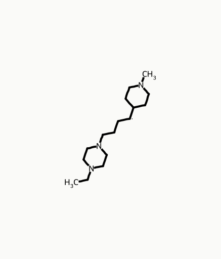 CCN1CCN(CCC[CH]C2CCN(C)CC2)CC1